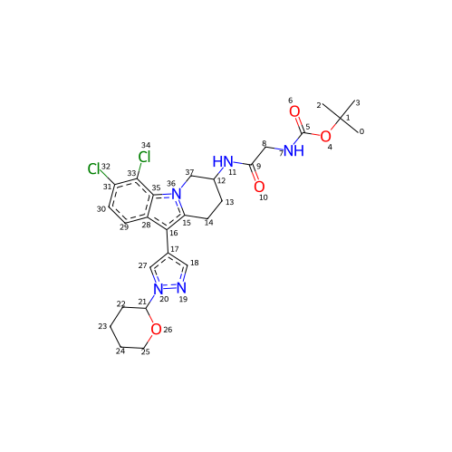 CC(C)(C)OC(=O)NCC(=O)NC1CCc2c(-c3cnn(C4CCCCO4)c3)c3ccc(Cl)c(Cl)c3n2C1